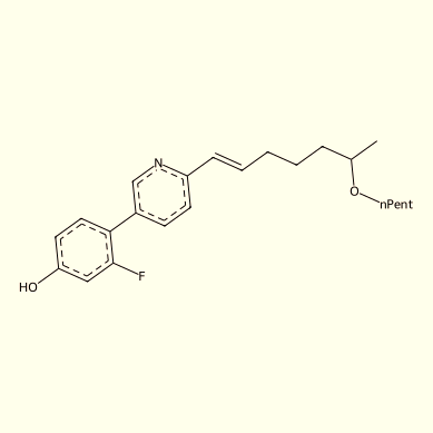 CCCCCOC(C)CCCC=Cc1ccc(-c2ccc(O)cc2F)cn1